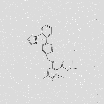 Cc1cc(OCc2ccc(-c3ccccc3-c3nnn[nH]3)cc2)c(C(=O)OC(C)C)c(C)n1